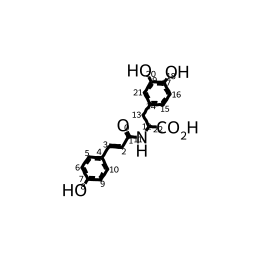 O=C(C=Cc1ccc(O)cc1)NC(Cc1ccc(O)c(O)c1)C(=O)O